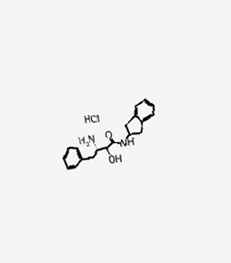 Cl.N[C@@H](Cc1ccccc1)C(O)C(=O)NC1Cc2ccccc2C1